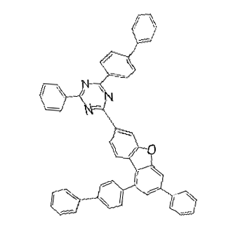 c1ccc(-c2ccc(-c3nc(-c4ccccc4)nc(-c4ccc5c(c4)oc4cc(-c6ccccc6)cc(-c6ccc(-c7ccccc7)cc6)c45)n3)cc2)cc1